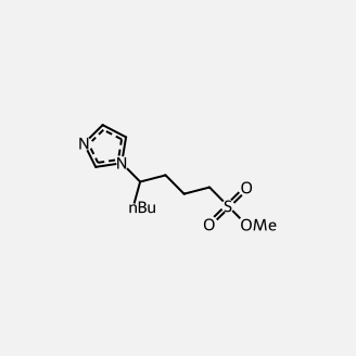 CCCCC(CCCS(=O)(=O)OC)n1ccnc1